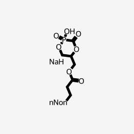 CCCCCCCCCCCC(=O)OCC1COP(=O)(O)C(=O)O1.[NaH]